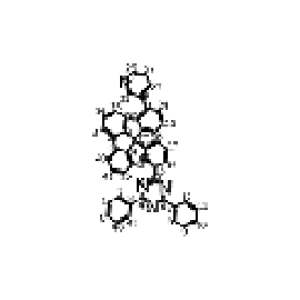 c1ccc(-c2nc(-c3ccccc3)nc(-c3cccc(C4(c5cccc(-c6cccnc6)c5)c5ccccc5-c5ccccc54)c3)n2)cc1